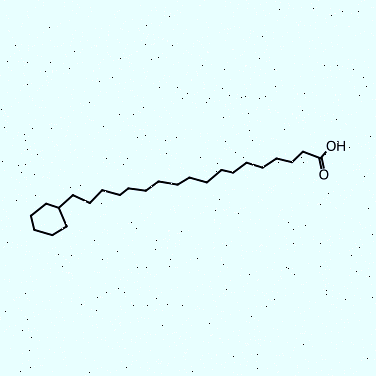 O=C(O)CCCCCCCCCCCCCCCCCC1CCCCC1